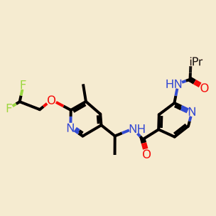 Cc1cc(C(C)NC(=O)c2ccnc(NC(=O)C(C)C)c2)cnc1OCC(F)F